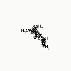 C=CCON=C(C(=O)NC1C(=O)N2C(C(=O)O)=C(C=COS(=O)(=O)c3ccc(C)cc3)CS[C@@H]12)c1nsc(N)n1